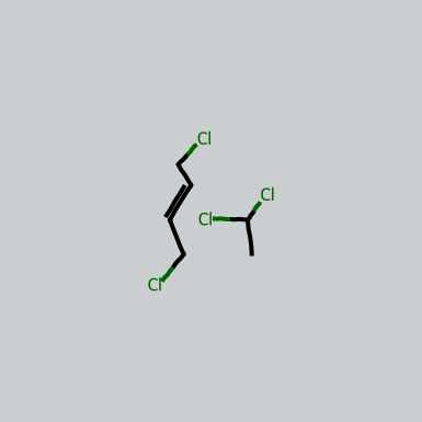 CC(Cl)Cl.ClCC=CCCl